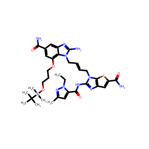 CCn1nc(C)cc1C(=O)Nc1nc2cc(C(N)=O)sc2n1C/C=C/Cn1c(N)nc2cc(C(N)=O)cc(OCCCO[Si](C)(C)C(C)(C)C)c21